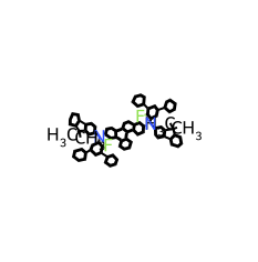 CC1(C)c2ccccc2-c2ccc(N(c3ccc4c(ccc5c6ccc(N(c7ccc8c(c7)C(C)(C)c7ccccc7-8)c7cc(-c8ccccc8)cc(-c8ccccc8)c7F)cc6c6ccccc6c45)c3)c3cc(-c4ccccc4)cc(-c4ccccc4)c3F)cc21